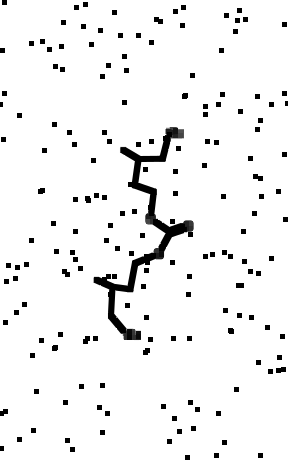 CC(CCOC(=O)OCCC(C)CC(C)(C)C)CC(C)(C)C